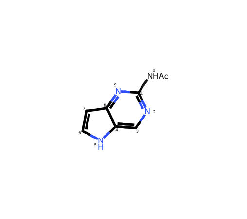 CC(=O)Nc1ncc2[nH]ccc2n1